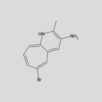 CC1=C(N)C=C2C=C(Br)C=CC=C2N1